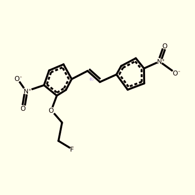 O=[N+]([O-])c1ccc(/C=C/c2ccc([N+](=O)[O-])c(OCCF)c2)cc1